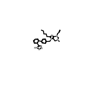 C=CCN1CN(C)Cc2c1nc(CCCCC)n2Cc1ccc(-c2ccccc2-c2nnn[nH]2)cc1